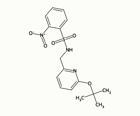 CC(C)(C)Oc1cccc(CNS(=O)(=O)c2ccccc2[N+](=O)[O-])n1